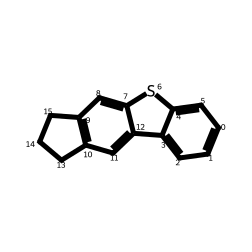 c1ccc2c(c1)sc1cc3c(cc12)CCC3